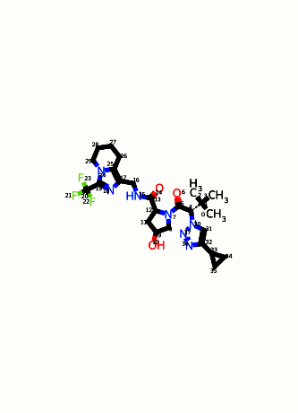 CC(C)(C)[C@@H](C(=O)N1CC(O)CC1C(=O)NCc1nc(C(F)(F)F)n2c1CCCC2)n1cc(C2CC2)nn1